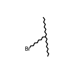 CCCCCCCCC(CCCCCCCC)CCCCCCCBr